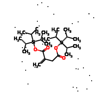 C=C(CC(=O)O[Si](C(C)C)(C(C)C)C(C)C)C(=O)O[Si](C(C)C)(C(C)C)C(C)C